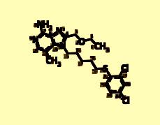 CCOCc1nc2c(N)ncc(C)c2n1CCCCCSc1ccc(Cl)cc1Cl